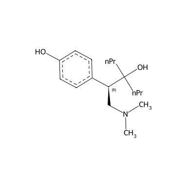 CCCC(O)(CCC)[C@@H](CN(C)C)c1ccc(O)cc1